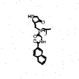 CC(C)C[C@H](NC(=O)c1ccc2ccccc2c1)C(=O)NCC1CNCC1=O